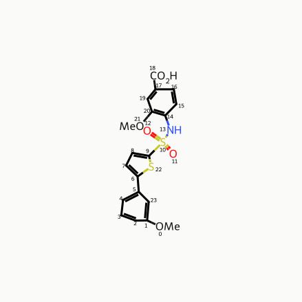 COc1cccc(-c2ccc(S(=O)(=O)Nc3ccc(C(=O)O)cc3OC)s2)c1